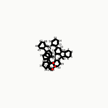 CC1(C)c2ccccc2-c2cccc(N(c3ccccc3-c3ccccc3)c3cccc4oc5cccc(-c6ccc7c(c6)c6ccccc6n7-c6ccccc6)c5c34)c21